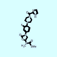 CSC(=O)N(C)C1CN(c2ccc(N3CCN(C(=O)c4ncc[nH]4)CC3)c(F)c2)C(=O)O1